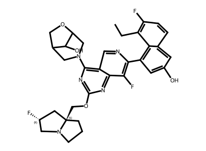 CCc1c(F)ccc2cc(O)cc(-c3ncc4c(N5CC6COC(C5)C6O)nc(OC[C@@]56CCCN5C[C@H](F)C6)nc4c3F)c12